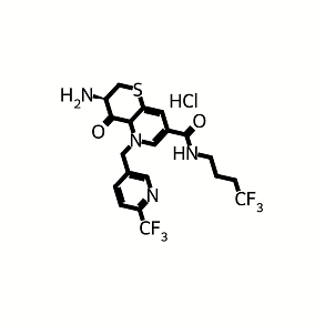 Cl.N[C@H]1CSC2=CC(C(=O)NCCCC(F)(F)F)=CN(Cc3ccc(C(F)(F)F)nc3)C2C1=O